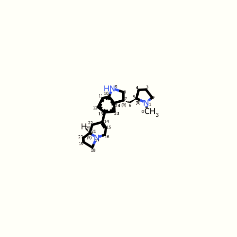 CN1CCC[C@@H]1C[C@H]1CNc2ccc(C3=CCN4CCC[C@H]4C3)cc21